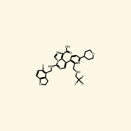 O=C(O)c1ncn2c(NCc3c(F)ccc4c3CCO4)ncc(-c3ccc(C4CCOCC4)nc3CNCC(F)(F)F)c12